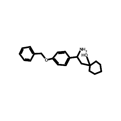 NC(CC1(O)CCCCC1)c1ccc(OCc2ccccc2)cc1